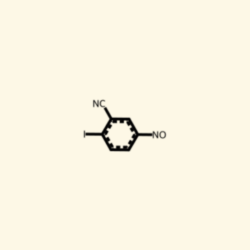 N#Cc1cc(N=O)ccc1I